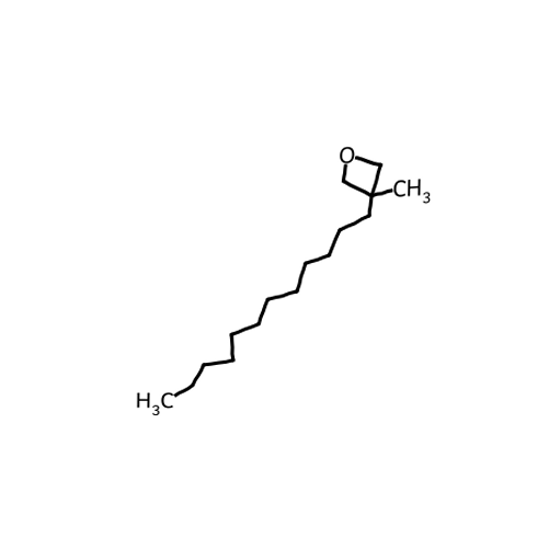 CCCCCCCCCCCCC1(C)COC1